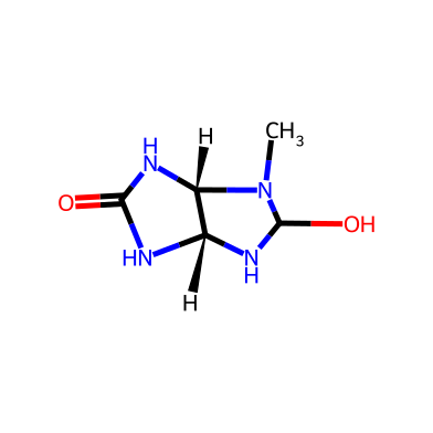 CN1C(O)N[C@@H]2NC(=O)N[C@@H]21